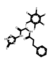 O=C(CCc1ccccc1)N[C@@H](Cc1c(F)c(F)c(F)c(F)c1F)C(=O)Nc1n[nH]c(=S)s1